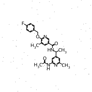 CC(=O)Nc1cc(C(C)NC(=O)c2cnc(OCc3ccc(F)cc3)c(C)c2)cc(C)n1